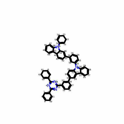 C1=CC(c2nc(-c3ccccc3)nc(-c3cccc(-c4ccc5c(c4)c4ccccc4n5-c4cccc(C5=CC6C(C=C5)c5ccccc5N6C5=CCCC=C5)c4)c3)n2)=CCC1